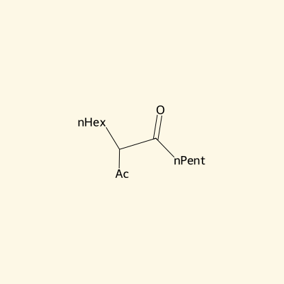 CCCCCCC(C(C)=O)C(=O)CCCCC